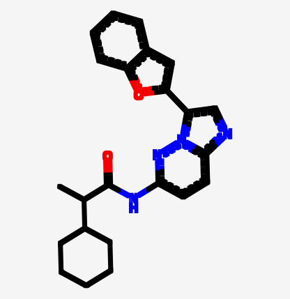 CC(C(=O)Nc1ccc2ncc(-c3cc4ccccc4o3)n2n1)C1CCCCC1